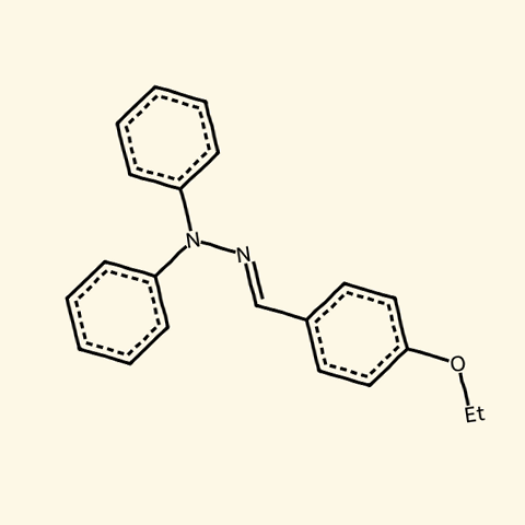 CCOc1ccc(C=NN(c2ccccc2)c2ccccc2)cc1